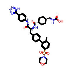 Cc1ccc(S(=O)(=O)N2CCOCC2)cc1-c1ccc(C[C@H](NC(=O)[C@H]2CC[C@H](CNC(=O)O)CC2)C(=O)Nc2ccc(-c3nnn[nH]3)cc2)cc1